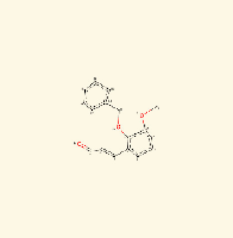 COc1cccc(C=CC=O)c1OCc1ccccc1